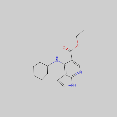 CCOC(=O)c1cnc2[nH]ccc2c1NC1CCCCC1